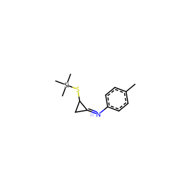 Cc1ccc(/N=C2/CC2S[Si](C)(C)C)cc1